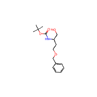 CC(C)(C)OC(=O)NC(CO)CCOCc1ccccc1